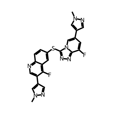 Cn1cc(-c2cc(F)c3nnc(Sc4ccc5ncc(-c6cnn(C)c6)c(F)c5c4)n3c2)cn1